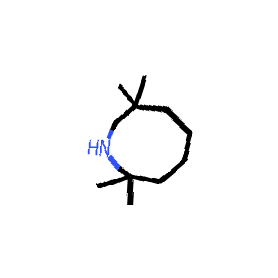 CC1(C)CCCCC(C)(C)NC1